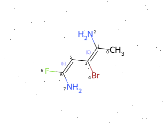 C/C(N)=C(Br)/C=C(\N)F